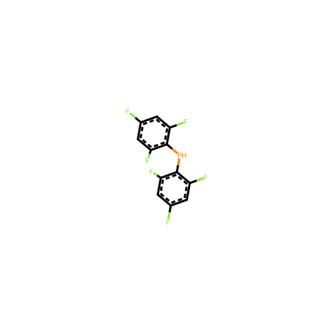 Fc1cc(F)c(Pc2c(F)cc(F)cc2F)c(F)c1